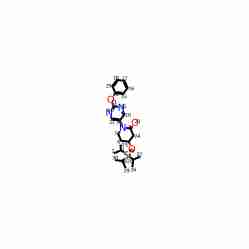 CC(C)[Si](OC1CCN(c2cnc(Oc3ccccc3)nc2)C(=O)C1)(C(C)C)C(C)C